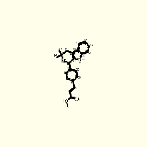 COC(=O)C=Cc1ccc(C2NC(C)(C)Cc3c2[nH]c2ccccc32)cc1